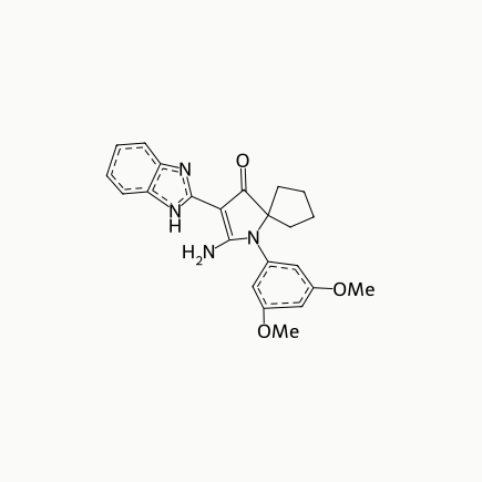 COc1cc(OC)cc(N2C(N)=C(c3nc4ccccc4[nH]3)C(=O)C23CCCC3)c1